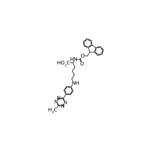 Cc1nnc(-c2ccc(NCCCCC(NC(=O)OCC3c4ccccc4-c4ccccc43)C(=O)O)cc2)nn1